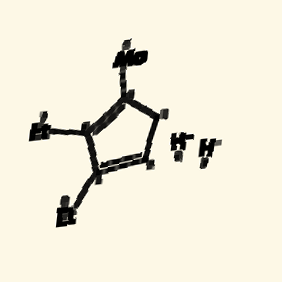 CCC1=CC[C]([Mo])=C1CC.[H-].[H-]